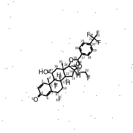 C[C@]12C=CC(=O)C=C1[C@@H](F)C[C@H]1[C@@H]3C[C@H]4OC(c5ccc(C(F)(F)F)cc5)O[C@@]4(C(=O)SCF)[C@@]3(C)C[C@H](O)[C@@]12F